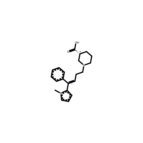 Cn1cccc1/C(=C/CCN1CCC[C@@H](C(=O)O)C1)c1ccccc1